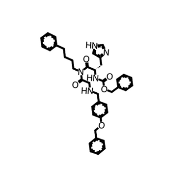 O=C(N[C@@H](Cc1c[nH]cn1)C(=O)N(CCCCc1ccccc1)C(=O)CNCc1ccc(OCc2ccccc2)cc1)OCc1ccccc1